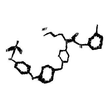 CCCCN(C(=O)Nc1cccc(C)c1)C1CCN(Cc2ccc(Oc3ccc(NS(C)(=O)=O)cc3)cc2)CC1.Cl